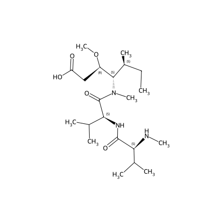 CC[C@H](C)[C@@H]([C@@H](CC(=O)O)OC)N(C)C(=O)[C@@H](NC(=O)[C@@H](NC)C(C)C)C(C)C